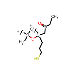 CC[Si](=O)C[Si](C)(CCCS)O[Si](C)(C)C